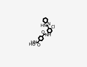 O=C(NO)c1ccc(C(=O)Nc2ccc(Cl)c(-c3nc4ccccc4[nH]3)c2)cc1